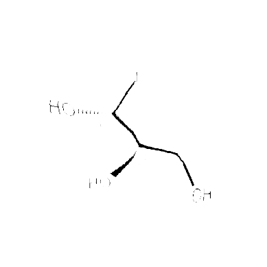 OC[C@@H](O)[C@H](O)I